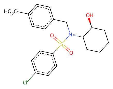 O=C(O)c1ccc(CN([C@H]2CCCC[C@@H]2O)S(=O)(=O)c2ccc(Cl)cc2)cc1